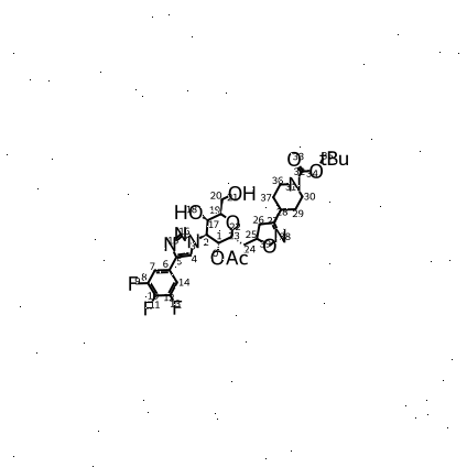 CC(=O)O[C@@H]1[C@@H](n2cc(-c3cc(F)c(F)c(F)c3)nn2)[C@@H](O)[C@@H](CO)O[C@@H]1CC1CC(C2CCN(C(=O)OC(C)(C)C)CC2)=NO1